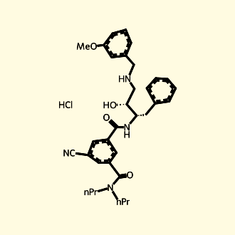 CCCN(CCC)C(=O)c1cc(C#N)cc(C(=O)N[C@@H](Cc2ccccc2)[C@H](O)CNCc2cccc(OC)c2)c1.Cl